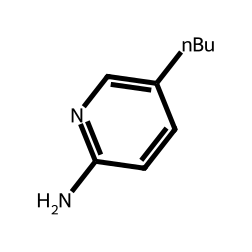 CCCCc1ccc(N)nc1